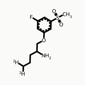 [2H]C([2H])CCC(N)COc1cc(F)cc(S(C)(=O)=O)c1